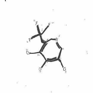 FC(F)(F)c1n[c]c(Cl)c(Cl)c1Cl